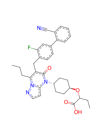 CCCc1c(Cc2ccc(-c3ccccc3C#N)cc2F)c(=O)n([C@H]2CC[C@H](OC(CC)C(=O)O)CC2)c2ccnn12